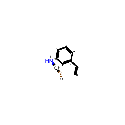 C=Cc1ccccc1.N=C=S